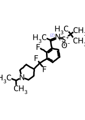 C/C(=N/[S@@+]([O-])C(C)(C)C)c1cccc(C(F)(F)C2CCN(C(C)C)CC2)c1F